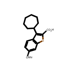 COc1ccc2c(C3CCCCCC3)c(C(=O)O)sc2c1